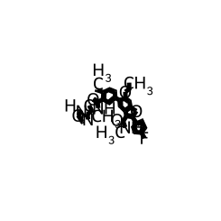 CCOc1cc2oc(-c3ccc(F)cc3)c(C(=O)NC)c2cc1-c1ccc(CC)c(C(=O)NC(C)(C)c2ncon2)c1